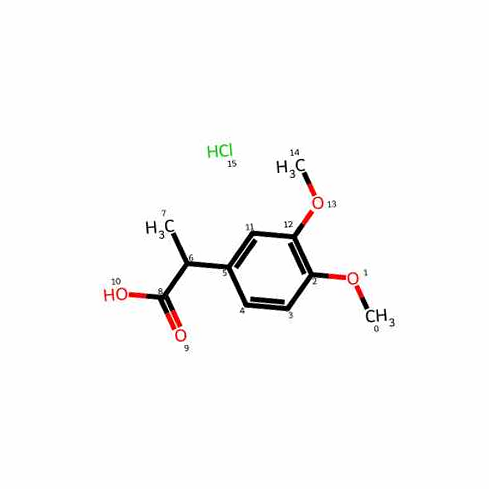 COc1ccc(C(C)C(=O)O)cc1OC.Cl